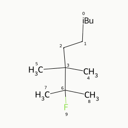 CCC(C)CCC(C)(C)C(C)(C)F